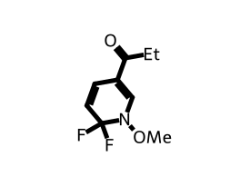 CCC(=O)C1=CN(OC)C(F)(F)C=C1